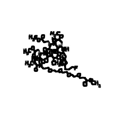 COC(=O)CCOCCOCCOCCOCCNC(=O)[C@H](C)NC(=O)[C@H](CC(=O)OC)NC(=O)[C@@H](NC(=O)[C@H](CCC(=O)OC)NC(=O)[C@H](CC(=O)OC)NC(=O)Cn1cc(CCCF)nn1)C(C)C